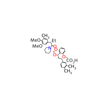 CC[C@H](C(=O)N1CCCC[C@H]1C(=O)O[C@H](CCc1ccc(C)c(C)c1)c1ccccc1OCC(=O)O)c1cc(C)c(OC)c(OC)c1